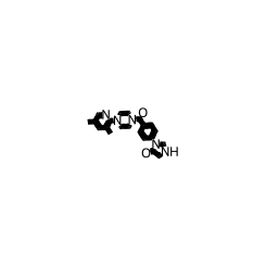 Cc1cnc(N2CCN(C(=O)c3ccc(N4CNCC4=O)cc3)CC2)c(C)c1